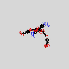 COC(=O)C=Cc1ccc(OCCCCCCC(CCCCCCOc2ccc(C=CC(=O)OC)cc2)(c2ccc(N)cc2)C(Cc2ccc(N)cc2)(C(=O)O)C(=O)O)cc1